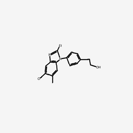 CCc1nc2cc(Cl)c(C)cc2n1-c1ccc(CCO)cc1